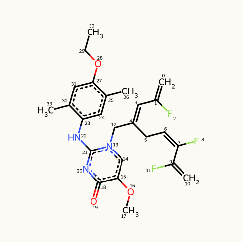 C=C(F)/C=C(\C/C=C(/F)C(=C)F)Cn1cc(OC)c(=O)nc1Nc1cc(C)c(OCC)cc1C